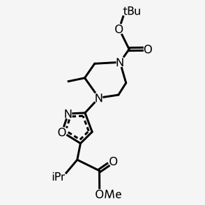 COC(=O)C(c1cc(N2CCN(C(=O)OC(C)(C)C)CC2C)no1)C(C)C